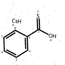 OC(=S)c1ccccc1.[CsH]